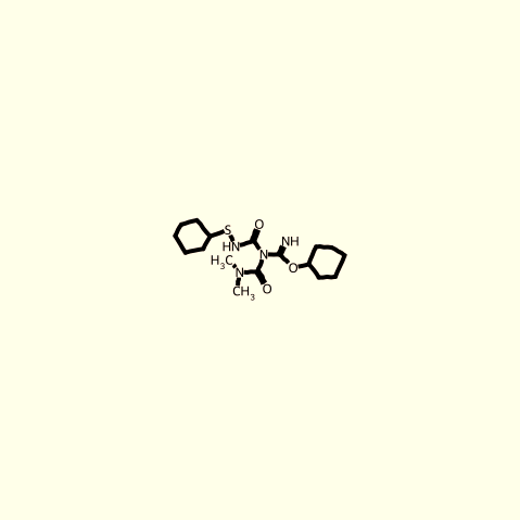 CN(C)C(=O)N(C(=N)OC1CCCCC1)C(=O)NSC1CCCCC1